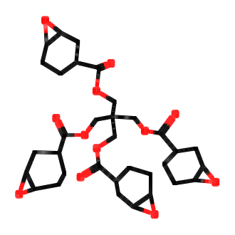 O=C(OCC(COC(=O)C1CCC2OC2C1)(COC(=O)C1CCC2OC2C1)COC(=O)C1CCC2OC2C1)C1CCC2OC2C1